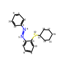 c1ccc(N=Nc2ccccc2SC2CCCCC2)cc1